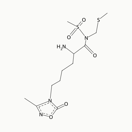 CSCN(C(=O)C(N)CCCCn1c(C)noc1=O)S(C)(=O)=O